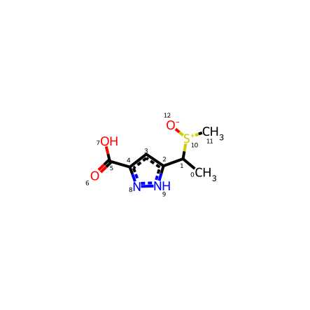 CC(c1cc(C(=O)O)n[nH]1)[S+](C)[O-]